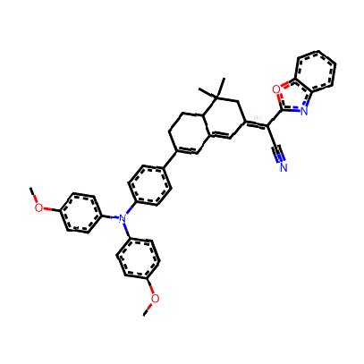 COc1ccc(N(c2ccc(OC)cc2)c2ccc(C3=CC4=C/C(=C(\C#N)c5nc6ccccc6o5)CC(C)(C)C4CC3)cc2)cc1